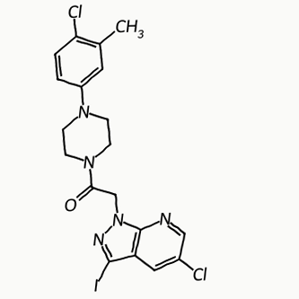 Cc1cc(N2CCN(C(=O)Cn3nc(I)c4cc(Cl)cnc43)CC2)ccc1Cl